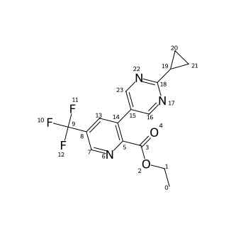 CCOC(=O)c1ncc(C(F)(F)F)cc1-c1cnc(C2CC2)nc1